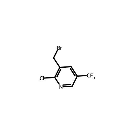 FC(F)(F)c1cnc(Cl)c(CBr)c1